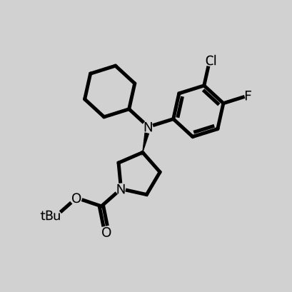 CC(C)(C)OC(=O)N1CC[C@H](N(c2ccc(F)c(Cl)c2)C2CCCCC2)C1